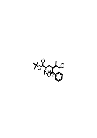 CC1=C(CC(N)C(=O)OC(C)(C)C)C(=O)c2ccccc2C1=O